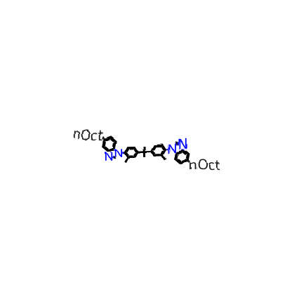 CCCCCCCCc1ccc2c(c1)ncn2-c1ccc(C(C)(C)c2ccc(-n3cnc4cc(CCCCCCCC)ccc43)c(C)c2)cc1C